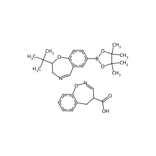 CC(C)(C)C1CN=Cc2cc(B3OC(C)(C)C(C)(C)O3)ccc2O1.O=C(O)C1C=NOc2ccccc2C1